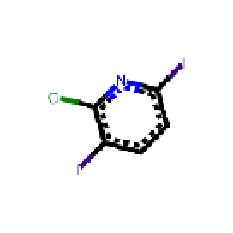 Clc1nc(I)ccc1I